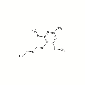 CCOC=Cc1c(OC)nc(N)nc1OC